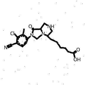 Cc1c(N2CN3C(CCCCCC(=O)O)CNCC3C2=O)ccc(C#N)c1Cl